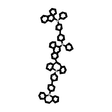 C1=Cc2ccccc2N(c2ccc(-c3ccc(N4c5ccccc5C=C(c5ccc6c(c5)cc(N(c5ccccc5)c5ccc(-c7ccc(N(c8ccccc8)c8cc9ccccc9c9ccccc89)cc7)cc5)c5ccccc56)c5ccccc54)cc3)cc2)c2ccccc21